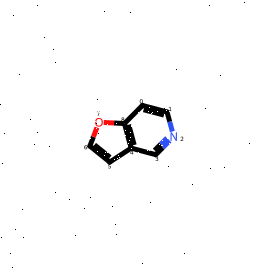 [c]1cncc2ccoc12